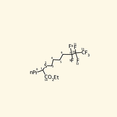 CCCC(SCCCCC(F)(F)C(F)(F)C(F)(F)F)C(=O)OCC